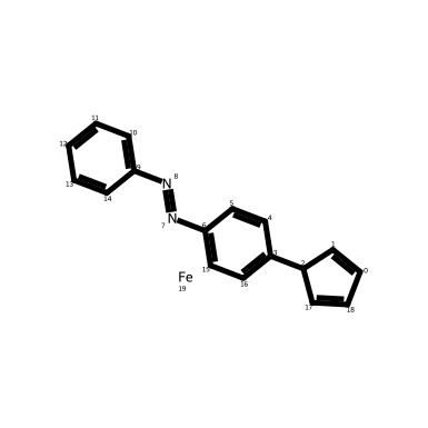 C1=CC(c2ccc(/N=N/c3ccccc3)cc2)C=C1.[Fe]